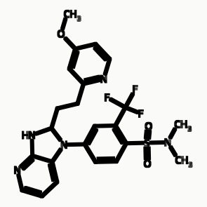 COc1ccnc(CCC2Nc3ncccc3N2c2ccc(S(=O)(=O)N(C)C)c(C(F)(F)F)c2)c1